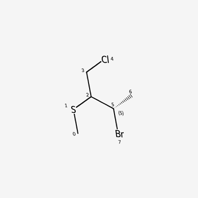 CSC(CCl)[C@H](C)Br